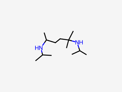 CC(C)NC(C)CCC(C)(C)NC(C)C